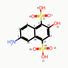 Nc1ccc2c(S(=O)(=O)O)c(O)cc(S(=O)(=O)O)c2c1